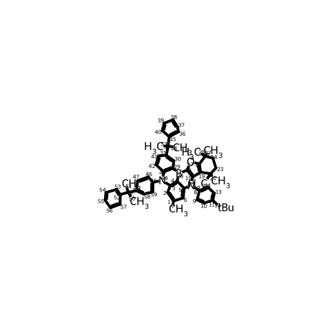 Cc1cc2c3c(c1)N(c1ccc(C(C)(C)C)cc1)c1c(oc4c1C(C)(C)CCC4(C)C)B3c1cc(C(C)(C)c3ccccc3)ccc1N2c1ccc(C(C)(C)c2ccccc2)cc1